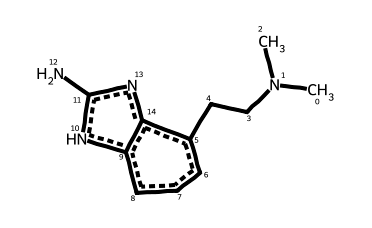 CN(C)CCc1cccc2[nH]c(N)nc12